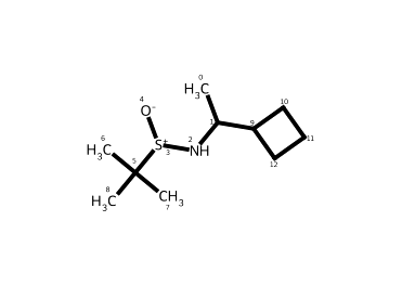 CC(N[S+]([O-])C(C)(C)C)C1CCC1